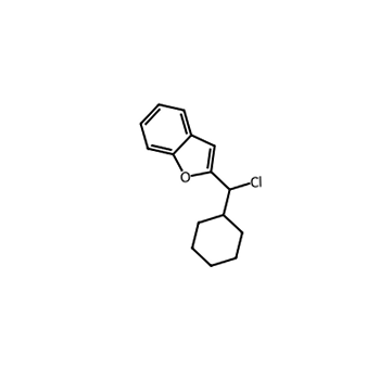 ClC(c1cc2ccccc2o1)C1CCCCC1